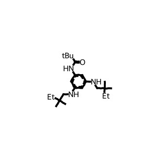 CCC(C)(C)CNc1cc(NCC(C)(C)CC)cc(NC(=O)C(C)(C)C)c1